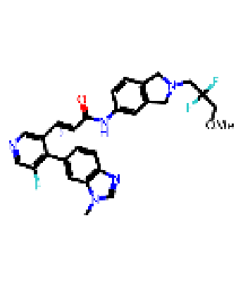 COCC(F)(F)CN1Cc2ccc(NC(=O)/C=C/c3cncc(F)c3-c3ccc4ncn(C)c4c3)cc2C1